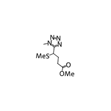 COC(=O)CCC(SC)c1nnnn1C